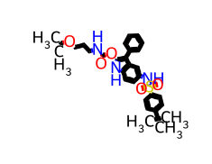 CC(C)OCCCNC(=O)Oc1[nH]c2ccc(NS(=O)(=O)c3ccc(C(C)(C)C)cc3)cc2c1-c1ccccc1